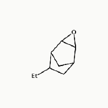 [CH2]CC1CC2CC1C1OC21